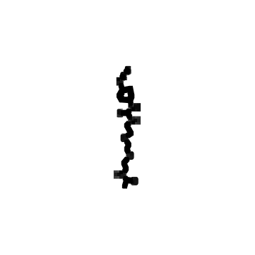 CC(=O)NCCOCCOCCNC(=S)Nc1ccc(N=C=S)cc1